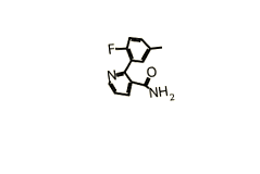 Cc1ccc(F)c(-c2ncccc2C(N)=O)c1